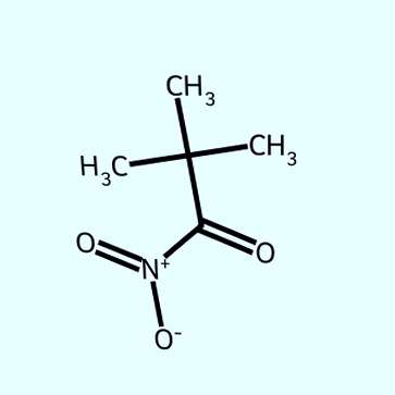 CC(C)(C)C(=O)[N+](=O)[O-]